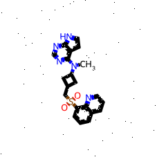 CN(c1ncnc2[nH]ccc12)C1CC(CS(=O)(=O)c2cccc3cccnc23)C1